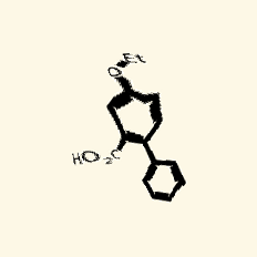 CCOc1ccc(-c2ccccc2)c(C(=O)O)c1